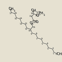 CCCCCCCCCCC(CCCCCCCC)COC(=O)CC(C)OP